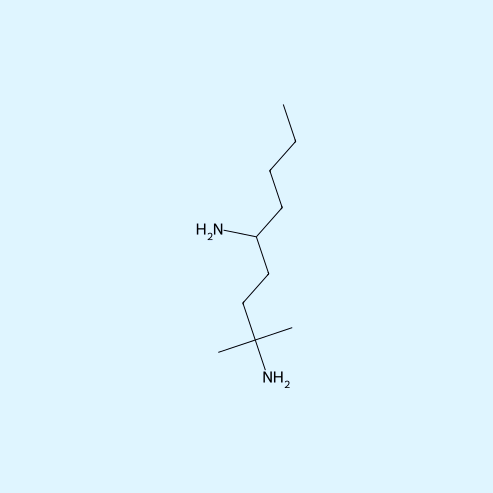 CCCCC(N)CCC(C)(C)N